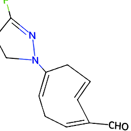 O=CC1=C/C/C=C(/N2CCC(F)=N2)C\C=C\1